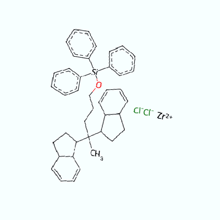 CC(CCCO[Si](c1ccccc1)(c1ccccc1)c1ccccc1)(C1CCC2C=CC=CC21)C1CCC2C=CC=CC21.[Cl-].[Cl-].[Zr+2]